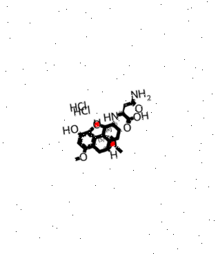 COc1cc(O)c2c3c1C[C@@H]1[C@@H]4CC[C@@H](N[C@@H](CC(N)=O)C(=O)O)[C@H](O2)[C@]34CCN1C.Cl.Cl